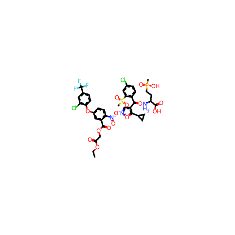 CCOC(=O)COC(=O)c1cc(Oc2ccc(C(F)(F)F)cc2Cl)ccc1[N+](=O)[O-].CP(=O)(O)CCC(N)C(=O)O.CS(=O)(=O)c1cc(Cl)ccc1C(=O)c1cnoc1C1CC1